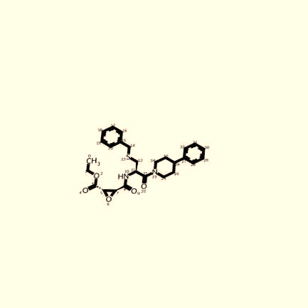 CCOC(=O)[C@H]1O[C@@H]1C(=O)N[C@@H](CSCc1ccccc1)C(=O)N1CCC(c2ccccc2)CC1